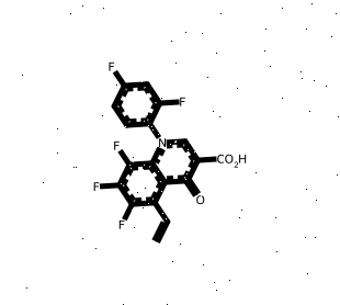 C=Cc1c(F)c(F)c(F)c2c1c(=O)c(C(=O)O)cn2-c1ccc(F)cc1F